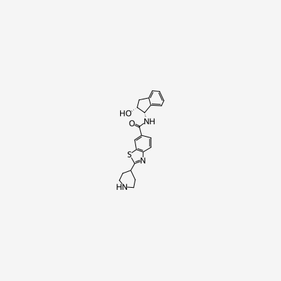 O=C(N[C@H]1c2ccccc2C[C@H]1O)c1ccc2nc(C3CCNCC3)sc2c1